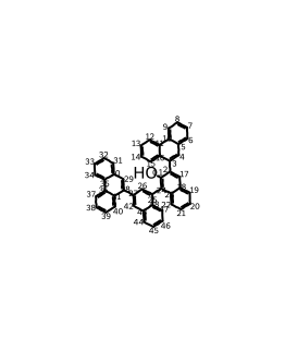 Oc1c(-c2cc3ccccc3c3ccccc23)cc2ccccc2c1-c1cc(-c2cc3ccccc3c3ccccc23)cc2ccccc12